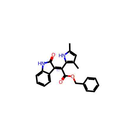 Cc1cc(C)c(/C(C(=O)OCc2ccccc2)=C2\C(=O)Nc3ccccc32)[nH]1